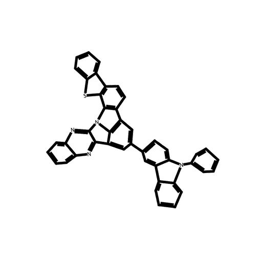 c1ccc(-n2c3ccccc3c3cc(-c4cc5c6ccc7c8ccccc8sc7c6n6c7nc8ccccc8nc7c(c4)c56)ccc32)cc1